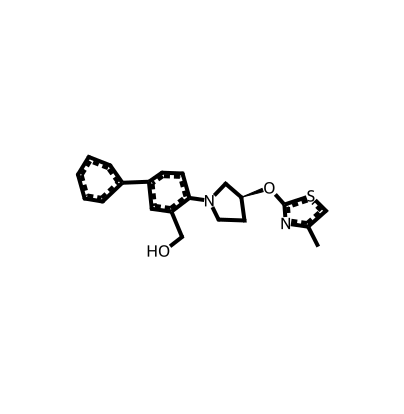 Cc1csc(O[C@H]2CCN(c3ccc(-c4ccccc4)cc3CO)C2)n1